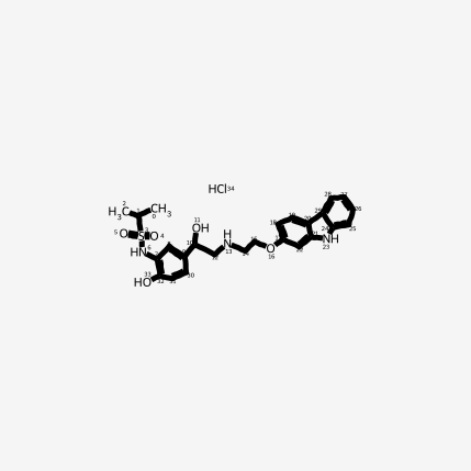 CC(C)S(=O)(=O)Nc1cc(C(O)CNCCOc2ccc3c(c2)[nH]c2ccccc23)ccc1O.Cl